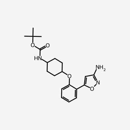 CC(C)(C)OC(=O)NC1CCC(Oc2ccccc2-c2cc(N)no2)CC1